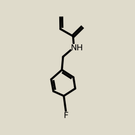 C=CC(=C)NCC1=CCC(F)C=C1